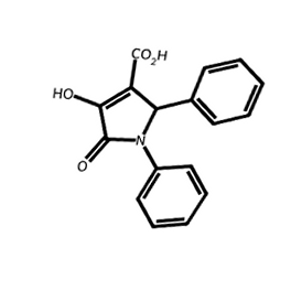 O=C(O)C1=C(O)C(=O)N(c2ccccc2)C1c1ccccc1